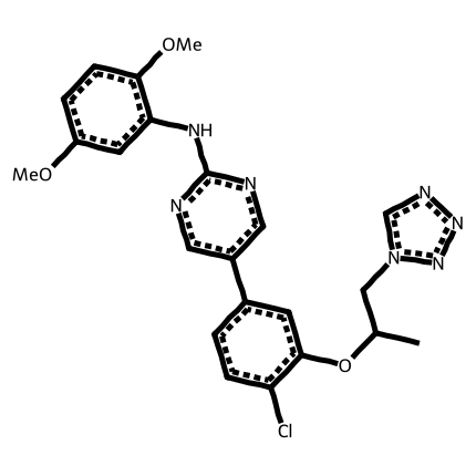 COc1ccc(OC)c(Nc2ncc(-c3ccc(Cl)c(OC(C)Cn4cnnn4)c3)cn2)c1